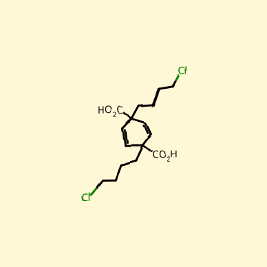 O=C(O)C1(CCCCCl)C=CC(CCCCCl)(C(=O)O)C=C1